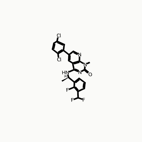 C[C@@H](Nc1nc(=O)n(C)c2ncc(-c3cc(Cl)ccc3Cl)cc12)c1cccc(C(F)F)c1F